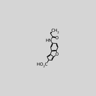 C=CC(=O)Nc1ccc2oc3c(c2c1)=CC(C(=O)O)C=3